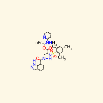 CCCC(Nc1ccccn1)OC(=O)C(CNC(=O)c1cccc2cn[nH]c12)NS(=O)(=O)c1c(C)cc(C)cc1C